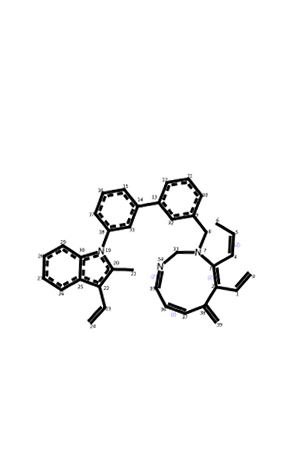 C=C/C1=C(\C=C/C)N(Cc2cccc(-c3cccc(-n4c(C)c(C=C)c5ccccc54)c3)c2)C/N=C\C=C/C1=C